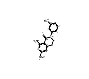 COc1nc(N)c2c(n1)CCN(c1cccc(C(C)(C)C)c1)C2=O